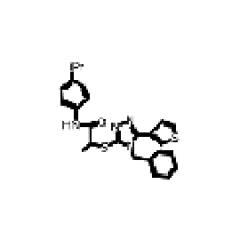 CC(Sc1nnc(-c2ccsc2)n1Cc1ccccc1)C(=O)Nc1ccc(C(C)C)cc1